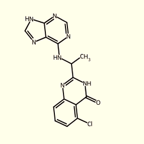 CC(Nc1ncnc2[nH]cnc12)c1nc2cccc(Cl)c2c(=O)[nH]1